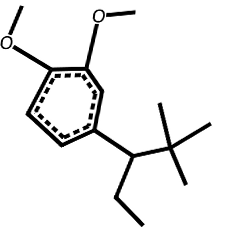 CCC(c1ccc(OC)c(OC)c1)C(C)(C)C